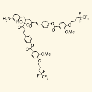 COc1cc(C(=O)Oc2ccc(/C=C/C(=O)CC(Cc3ccc(N)cc3)C(O)(O)C(=O)/C=C/c3ccc(OC(=O)c4ccc(OCCCC(F)(F)C(F)(F)F)c(OC)c4)cc3)cc2)ccc1OCCCC(F)(F)C(F)(F)F